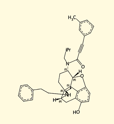 Cc1cccc(C#CC(=O)N(CC(C)C)[C@H]2CC[C@H]3[C@H]4Cc5c(O)ccc6c5[C@@]3(CCN4CCc3ccccc3)[C@H]2O6)c1